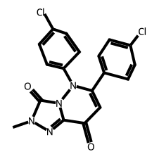 Cn1nc2c(=O)cc(-c3ccc(Cl)cc3)n(-c3ccc(Cl)cc3)n2c1=O